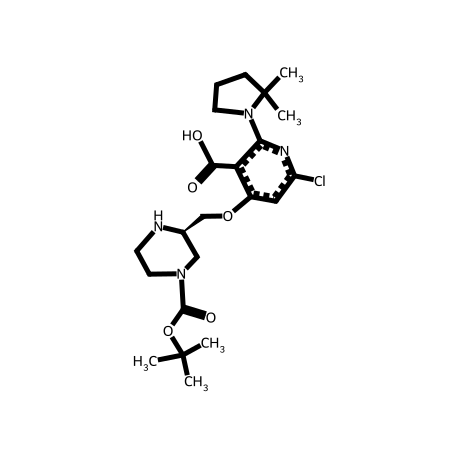 CC(C)(C)OC(=O)N1CCN[C@@H](COc2cc(Cl)nc(N3CCCC3(C)C)c2C(=O)O)C1